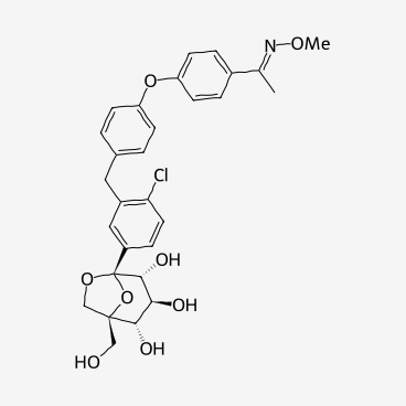 CON=C(C)c1ccc(Oc2ccc(Cc3cc([C@]45OC[C@](CO)(O4)[C@@H](O)[C@H](O)[C@H]5O)ccc3Cl)cc2)cc1